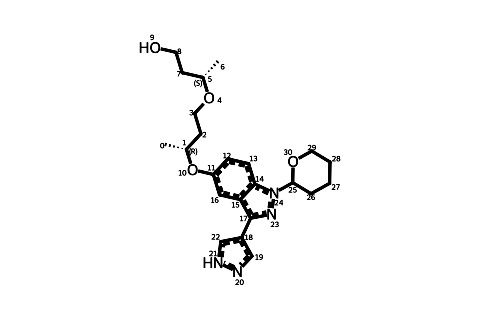 C[C@H](CCO[C@@H](C)CCO)Oc1ccc2c(c1)c(-c1cn[nH]c1)nn2C1CCCCO1